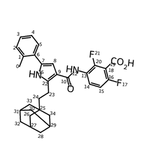 Cc1ccccc1-c1cc(C(=O)Nc2ccc(F)c(C(=O)O)c2F)c(CCC23CC4CC(CC(C4)C2)C3)[nH]1